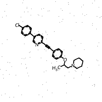 CC(CN1CCCCC1)Oc1ccc(C#Cc2ccc(-c3ccc(Cl)cc3)cn2)cc1